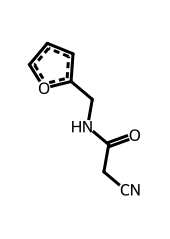 N#CCC(=O)NCc1ccco1